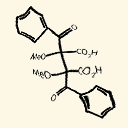 COC(C(=O)O)(C(=O)c1ccccc1)C(OC)(C(=O)O)C(=O)c1ccccc1